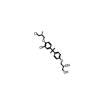 C[C@H](CCl)COc1ccc(C(C)(C)c2ccc(OC[C@@H](O)CO)cc2)cc1Cl